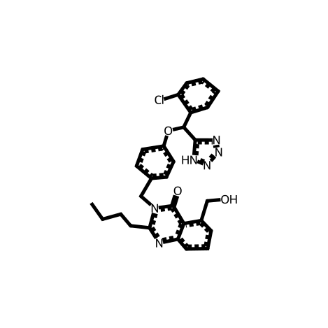 CCCCc1nc2cccc(CO)c2c(=O)n1Cc1ccc(OC(c2nnn[nH]2)c2ccccc2Cl)cc1